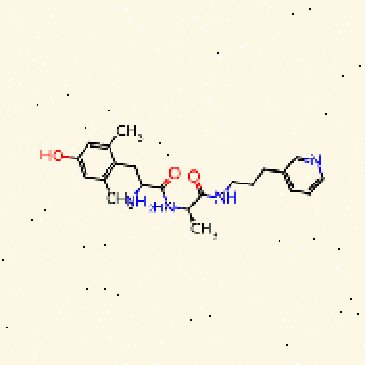 Cc1cc(O)cc(C)c1C[C@H](N)C(=O)N[C@H](C)C(=O)NCCCc1cccnc1